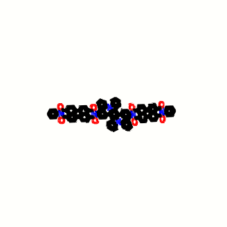 O=C1C2=CC=C3C4=c5c6c(ccc5=C5C=CC(=C2C35)C(=O)N1c1ccc(-c2c3c5ccccc5n(-c5ccccc5)c3c(-c3ccc(N5C(=O)C7=CC=C8C9=c%10c%11c(ccc%10=C%10C=CC(=C7C8%10)C5=O)C(=O)N(c5ccccc5)C(=O)C%11C=C9)cc3)c3c5ccccc5n(-c5ccccc5)c23)cc1)C(=O)N(c1ccccc1)C(=O)C6C=C4